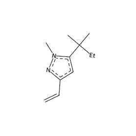 C=Cc1cc(C(C)(C)CC)n(C)n1